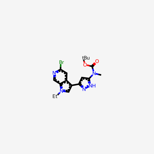 CCn1cc(-c2cc(N(C)C(=O)OC(C)(C)C)[nH]n2)c2cc(Br)ncc21